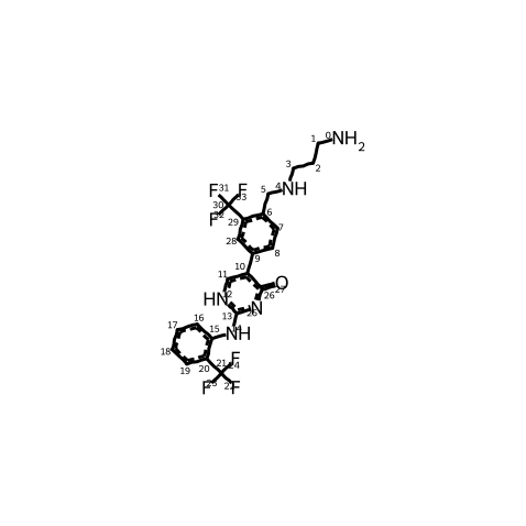 NCCCNCc1ccc(-c2c[nH]c(Nc3ccccc3C(F)(F)F)nc2=O)cc1C(F)(F)F